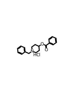 Cl.O=C(OC1CCN(Cc2ccccc2)CC1)c1ccccc1